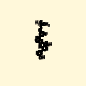 CN(C)CCOc1cc(F)cc(-c2nccc3[nH]c(-c4n[nH]c5ncc(-c6cncc(O)c6)cc45)cc23)c1